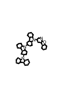 c1ccc2c(c1)oc1ncc(-n3c4ccccc4c4cc(-n5c6ccccc6c6cc(-n7c8ccccc8c8ccccc87)ccc65)ccc43)cc12